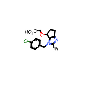 CC(C)c1nc2c(n1Cc1ccc(Cl)cc1)C(OCC(=O)O)CC2